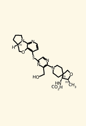 C[C@@H]1OCC2(CCN(c3ncc(Sc4ccnc5c4OC[C@@H]4CCCN54)nc3CO)CC2)[C@@H]1NC(=O)O